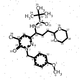 COc1ccc(Cn2nc(C(CCC3OCCCO3)N[S+]([O-])C(C)(C)C)cc(Cl)c2=O)cc1